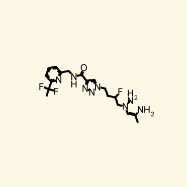 C/C(N)=C/N(N)CC(F)CCn1cc(C(=O)NCc2cccc(C(C)(F)F)n2)nn1